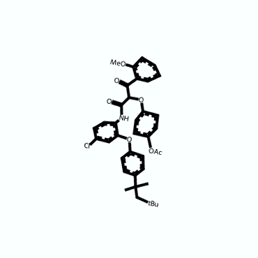 COc1ccccc1C(=O)C(Oc1ccc(OC(C)=O)cc1)C(=O)Nc1ccc(Cl)cc1Oc1ccc(C(C)(C)CC(C)(C)C)cc1